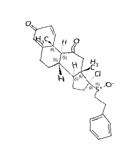 C[C@]12C=CC(=O)C=C1CC[C@@H]1[C@@H]2C(=O)C[C@@]2(C)[C@H]1CC[C@]2(Cl)[S@+]([O-])CCc1ccccc1